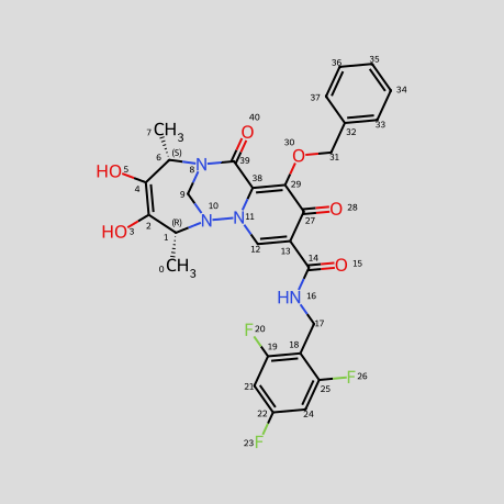 C[C@@H]1C(O)=C(O)[C@H](C)N2CN1n1cc(C(=O)NCc3c(F)cc(F)cc3F)c(=O)c(OCc3ccccc3)c1C2=O